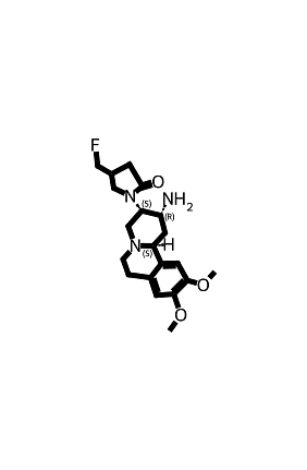 COc1cc2c(cc1OC)[C@@H]1C[C@@H](N)[C@@H](N3CC(CF)CC3=O)CN1CC2